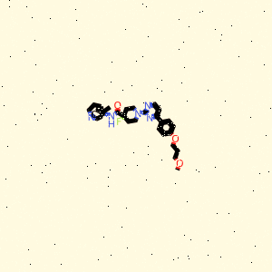 COCCCOc1ccc(-c2ccnc(N3CCC(F)(C(=O)NC4(C)CCN5CCC4CC5)CC3)n2)cc1